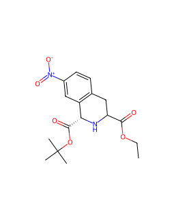 CCOC(=O)C1Cc2ccc([N+](=O)[O-])cc2[C@@H](C(=O)OC(C)(C)C)N1